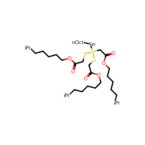 CCCCCCC[CH2][Sn][S](CC(=O)OCCCCCC(C)C)(SCC(=O)OCCCCCC(C)C)SCC(=O)OCCCCCC(C)C